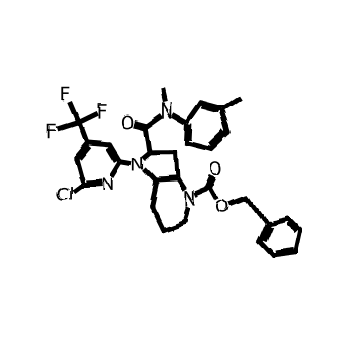 Cc1cccc(N(C)C(=O)C2CC3C(CCCN3C(=O)OCc3ccccc3)N2c2cc(C(F)(F)F)cc(Cl)n2)c1